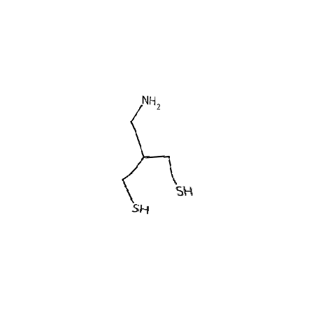 NCC(CS)CS